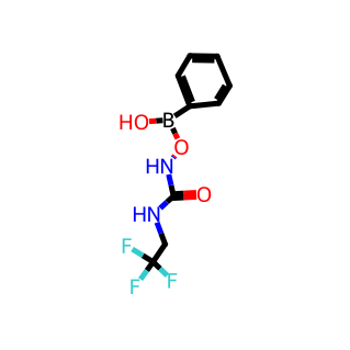 O=C(NCC(F)(F)F)NOB(O)c1ccccc1